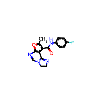 Cc1oc2c(c1C(=O)Nc1ccc(F)cc1)C1=NCCN1C=N2